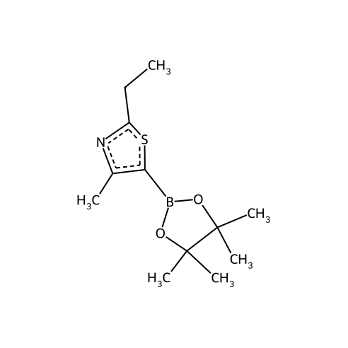 CCc1nc(C)c(B2OC(C)(C)C(C)(C)O2)s1